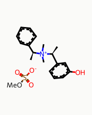 COS(=O)(=O)[O-].C[C@@H](c1ccccc1)[N+](C)(C)[C@@H](C)c1cccc(O)c1